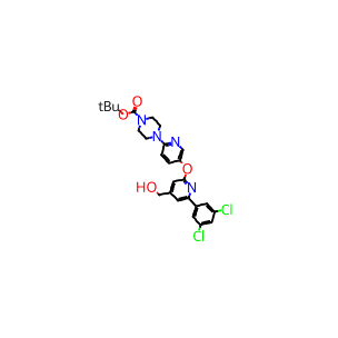 CC(C)(C)OC(=O)N1CCN(c2ccc(Oc3cc(CO)cc(-c4cc(Cl)cc(Cl)c4)n3)cn2)CC1